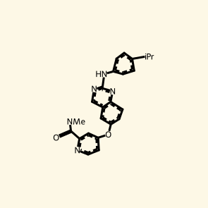 CNC(=O)c1cc(Oc2ccc3nc(Nc4ccc(C(C)C)cc4)ncc3c2)ccn1